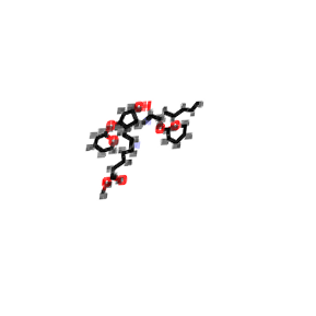 CCCCC[C@@H](/C=C/[C@@H]1[C@@H](C/C=C\CCCC(=O)OC)[C@@H](OC2CCCCO2)C[C@H]1O)OC1CCCCO1